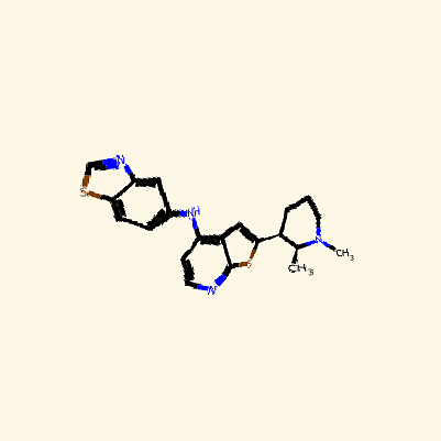 C[C@H]1[C@@H](c2cc3c(Nc4ccc5scnc5c4)ccnc3s2)CCCN1C